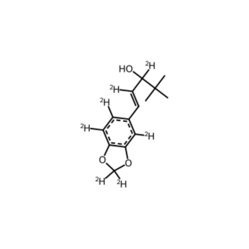 [2H]/C(=C\c1c([2H])c([2H])c2c(c1[2H])OC([2H])([2H])O2)C([2H])(O)C(C)(C)C